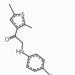 COc1ccc(NCC(=O)c2cc(C)sc2C)cc1